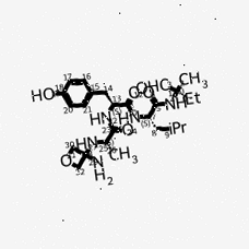 CC[C@@](C)(C=O)NC(=O)[C@H](CC(C)C)NC(=O)[C@H](Cc1ccc(O)cc1)NC(=O)[C@H](C)NC1(N)COC1